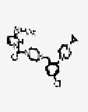 CC(=O)Nc1ccn(C(=O)N2CCN(Cc3ccc(Cl)cc3N3CCN(C4CC4)CC3)CC2)n1